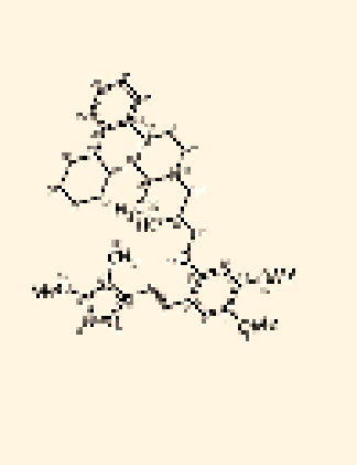 COc1cc(C=Cc2onc(OC)c2C)c(OCC(O)CN2CCN(c3ccccc3C3CCCCC3)CC2C)cc1OC